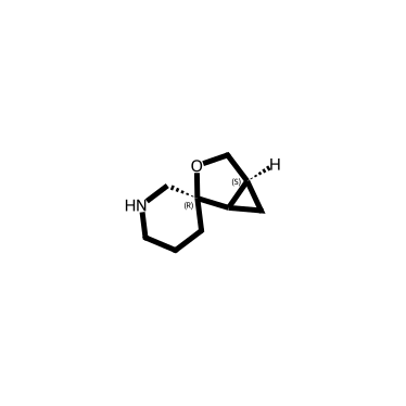 C1CNC[C@]2(C1)OC[C@H]1CC12